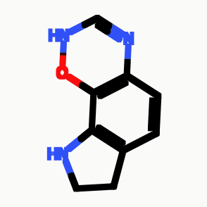 C1=Nc2ccc3c(c2ON1)NCC3